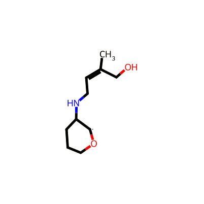 C/C(=C/CNC1[CH]OCCC1)CO